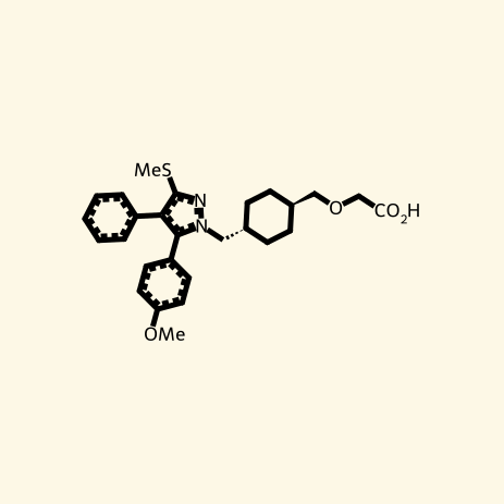 COc1ccc(-c2c(-c3ccccc3)c(SC)nn2C[C@H]2CC[C@H](COCC(=O)O)CC2)cc1